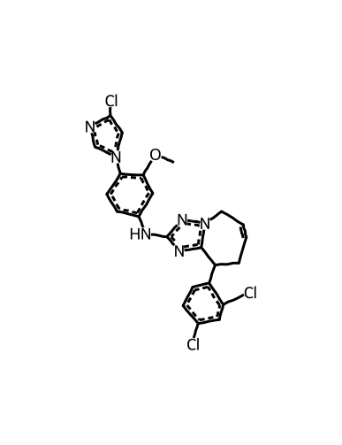 COc1cc(Nc2nc3n(n2)CC=CCC3c2ccc(Cl)cc2Cl)ccc1-n1cnc(Cl)c1